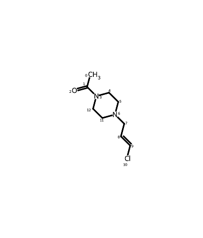 CC(=O)N1CCN(CC=CCl)CC1